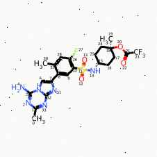 Cc1nc(N)n2cc(-c3cc(S(=O)(=O)N[C@H]4CC[C@](C)(OC(=O)C(F)(F)F)CC4)c(F)cc3C)nc2n1